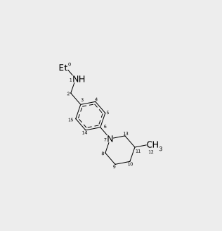 CCNCc1ccc(N2CCCC(C)C2)cc1